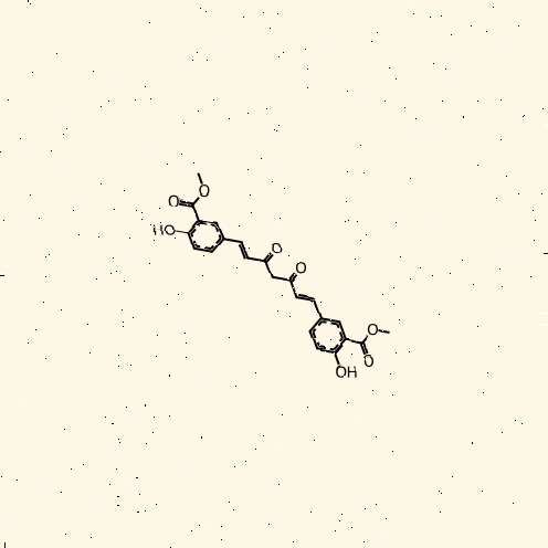 COC(=O)c1cc(/C=C/C(=O)CC(=O)/C=C/c2ccc(O)c(C(=O)OC)c2)ccc1O